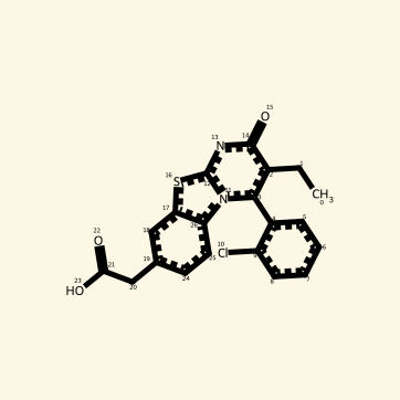 CCc1c(-c2ccccc2Cl)n2c(nc1=O)sc1cc(CC(=O)O)ccc12